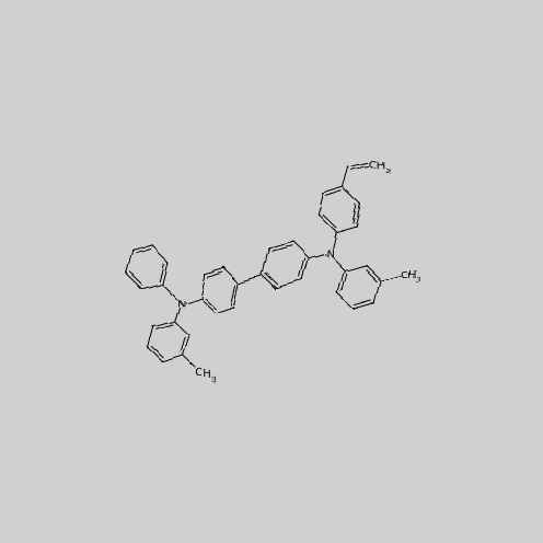 C=Cc1ccc(N(c2ccc(-c3ccc(N(c4ccccc4)c4cccc(C)c4)cc3)cc2)c2cccc(C)c2)cc1